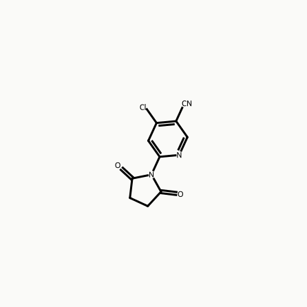 N#Cc1cnc(N2C(=O)CCC2=O)cc1Cl